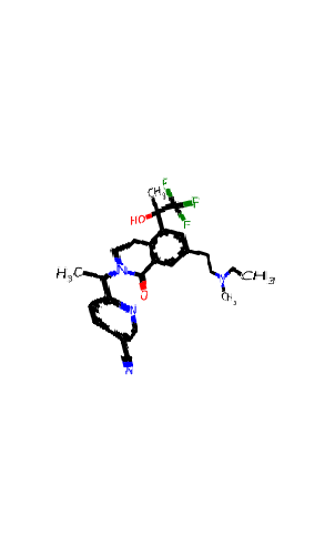 CCN(C)CCc1cc2c(c(C(C)(O)C(F)(F)F)c1)CCN(C(C)c1ccc(C#N)cn1)C2=O